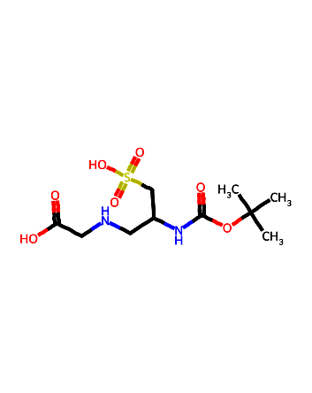 CC(C)(C)OC(=O)NC(CNCC(=O)O)CS(=O)(=O)O